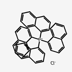 [Cl-].c1ccc2c([P+](c3cccc4ccccc34)(c3cccc4ccccc34)c3cccc4ccccc34)cccc2c1